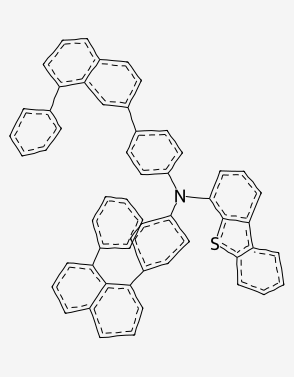 c1ccc(-c2cccc3ccc(-c4ccc(N(c5ccc(-c6cccc7cccc(-c8ccccc8)c67)cc5)c5cccc6c5sc5ccccc56)cc4)cc23)cc1